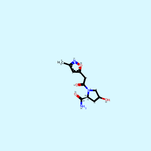 Cc1cc(CC(=O)N2CC(O)C[C@H]2C(N)=O)on1